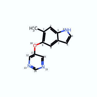 Cc1cc2[nH]ccc2cc1Oc1cncnc1